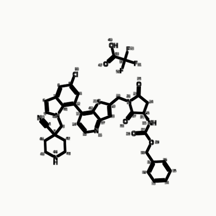 N#CC1(Cn2ccc3cc(Cl)cc(-c4ccnc5cc(CN6C(=O)C[C@@H](NC(=O)OCc7ccccc7)C6=O)sc45)c32)CCNCC1.O=C(O)C(F)(F)F